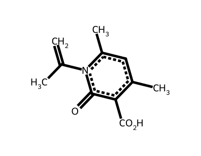 C=C(C)n1c(C)cc(C)c(C(=O)O)c1=O